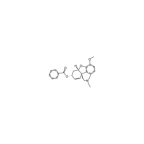 COc1ccc2c3c1O[C@H]1C[C@@H](OC(=O)c4ccccc4)C=C[C@@]31CCN(C)C2